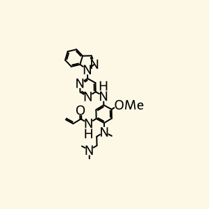 C=CC(=O)Nc1cc(Nc2cc(-n3ncc4ccccc43)ncn2)c(OC)cc1N(C)CCN(C)C